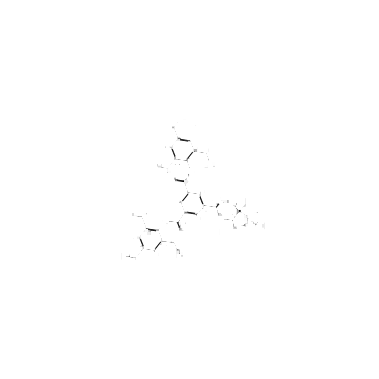 BCc1cc(CB)c(OC(=O)c2cc(C(=O)Oc3c(CB)cc(CB)cc3CB)cc(C(=O)OC(C)C(F)(F)S(=O)(=O)O)c2)c(CB)c1